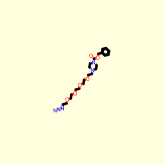 [N-]=[N+]=NCCOCCOCCOCCOCCN1CCN(C(=O)OCc2ccccc2)CC1